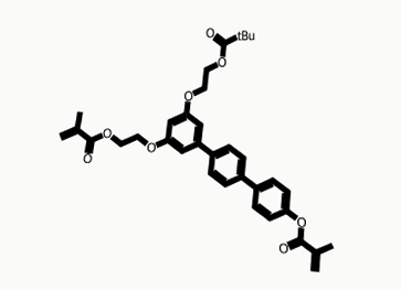 C=C(C)C(=O)OCCOc1cc(OCCOC(=O)C(C)(C)C)cc(-c2ccc(-c3ccc(OC(=O)C(=C)C)cc3)cc2)c1